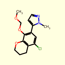 COCOc1c(-c2ccnn2C)cc(Cl)c2c1OCCC2